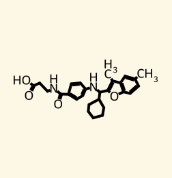 Cc1ccc2oc(C(Nc3ccc(C(=O)NCCC(=O)O)cc3)C3CCCCC3)c(C)c2c1